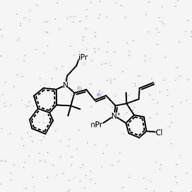 C=CCC1(C)C(/C=C/C=C2/N(CCC(C)C)c3ccc4ccccc4c3C2(C)C)=[N+](CCC)c2ccc(Cl)cc21